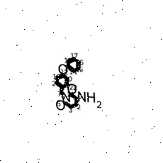 NC1CCC(=O)N(Cc2ccc(Oc3ccccc3)cc2)C1=O